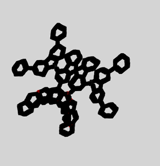 c1ccc(-c2ccc3c(c2)-c2cc(-c4ccccc4)ccc2B3c2cc(B3c4ccc(-c5ccccc5)cc4-c4cc(-c5ccccc5)ccc43)c3c(c2)C2(c4ccccc4-3)c3ccccc3-c3c(B4c5ccc(-c6ccccc6)cc5-c5cc(-c6ccccc6)ccc54)cc(B4c5ccc(-c6ccccc6)cc5-c5cc(-c6ccccc6)ccc54)cc32)cc1